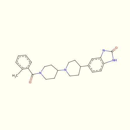 Cc1ccccc1C(=O)N1CCC(N2CCC(c3ccc4c(c3)[N]C(=O)N4)CC2)CC1